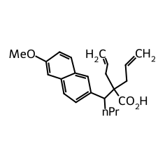 C=CCC(CC=C)(C(=O)O)C(CCC)c1ccc2cc(OC)ccc2c1